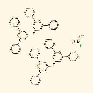 C(=C1C=C(c2ccccc2)SC(c2ccccc2)=C1)c1cc(-c2ccccc2)s[c+](-c2ccccc2)c1.C(=C1C=C(c2ccccc2)SC(c2ccccc2)=C1)c1cc(-c2ccccc2)s[c+](-c2ccccc2)c1.[O-]B([O-])F